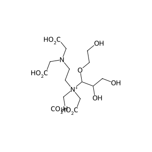 O=C(O)CN(CC[N+](CC(=O)O)(CC(=O)O)C(OCCO)C(O)CO)CC(=O)O